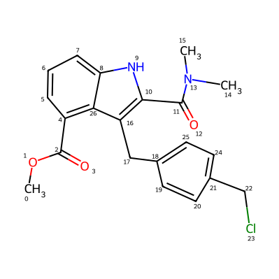 COC(=O)c1cccc2[nH]c(C(=O)N(C)C)c(Cc3ccc(CCl)cc3)c12